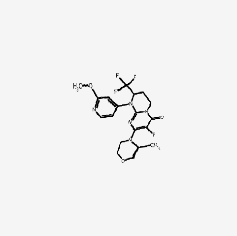 COc1cc(N2c3nc(N4CCOCC4C)c(F)c(=O)n3CCC2C(F)(F)F)ccn1